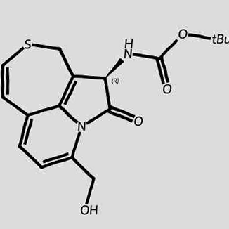 CC(C)(C)OC(=O)N[C@H]1C(=O)N2C(CO)=CC=C3C=CSCC1=C32